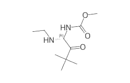 CCN[C@H](NC(=O)OC)C(=O)C(C)(C)C